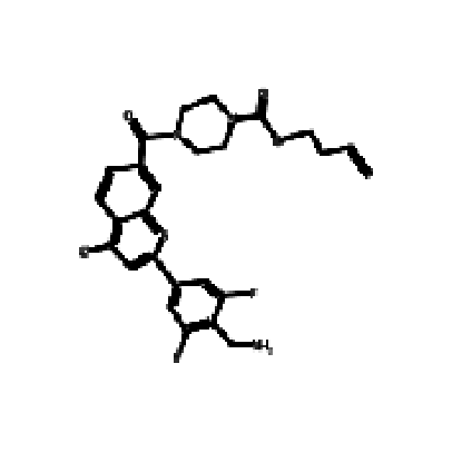 C=CCCOC(=O)N1CCN(C(=O)c2ccc3c(Cl)cc(-c4cc(F)c(CN)c(F)c4)nc3c2)CC1